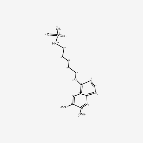 COc1cc2ncnc(OCCCCCNS(C)(=O)=O)c2cc1OC